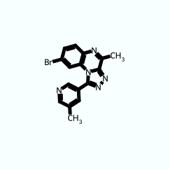 Cc1cncc(-c2nnc3c(C)nc4ccc(Br)cc4n23)c1